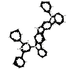 c1ccc(-c2cc(-n3c4ccccc4c4cc5c(cc43)oc3cc4c(cc35)c3ccccc3n4-c3ccccc3)nc(-c3ccccc3)n2)cc1